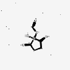 O=[C]O[N+]1(O)C(=O)CCC1=O